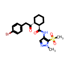 Cn1ncc(NC(=O)[C@@H]2CCCC[C@H]2C(=O)Cc2ccc(Br)cc2)c1S(C)(=O)=O